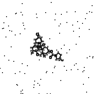 C[C@@H]1CCN(C(=O)O[C@@H]2CC[C@@]3(S(=O)(=O)c4ccc(Cl)cc4)c4c(F)ccc(F)c4OC[C@H]3C2)C1